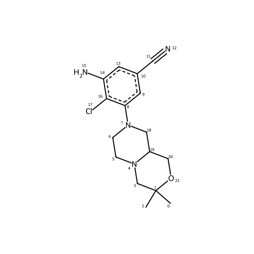 CC1(C)CN2CCN(c3cc(C#N)cc(N)c3Cl)CC2CO1